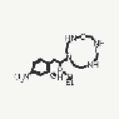 CCO[PH](=O)C(Cc1ccc([N+](=O)[O-])cc1)N1CCNCCNCCNCC1